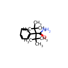 CC(C)(C)C(C(N)=O)(c1ccccc1)C(C)(C)C